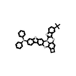 CC(C)(C)c1ccc2oc3c(c2c1)Oc1cc2c(c4c1B3c1cc3oc5cc(N(c6ccccc6)c6ccccc6)ccc5c3cc1O4)CC2